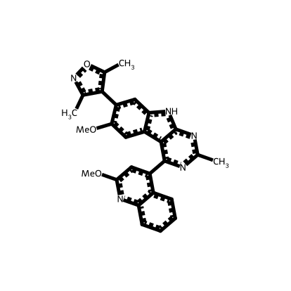 COc1cc(-c2nc(C)nc3[nH]c4cc(-c5c(C)noc5C)c(OC)cc4c23)c2ccccc2n1